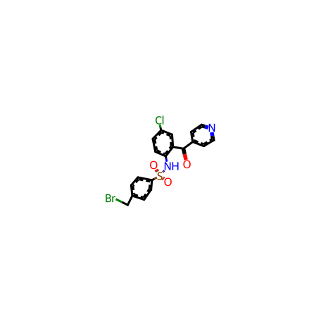 O=C(c1ccncc1)c1cc(Cl)ccc1NS(=O)(=O)c1ccc(CBr)cc1